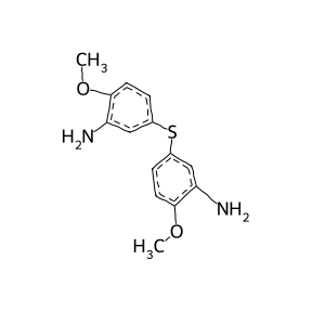 COc1ccc(Sc2ccc(OC)c(N)c2)cc1N